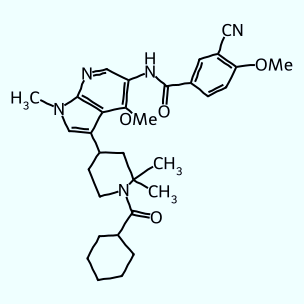 COc1ccc(C(=O)Nc2cnc3c(c(C4CCN(C(=O)C5CCCCC5)C(C)(C)C4)cn3C)c2OC)cc1C#N